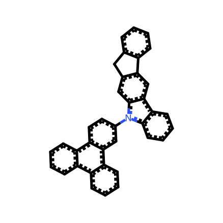 c1ccc2c(c1)Cc1cc3c(cc1-2)c1ccccc1n3-c1ccc2c3ccccc3c3ccccc3c2c1